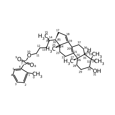 Cc1ccccc1S(=O)(=O)OCCC[C@@H](C)[C@H]1CC=C2C3=C(CC[C@@]21C)[C@@]1(C)CCC(O)C(C)(C)[C@@H]1CC3